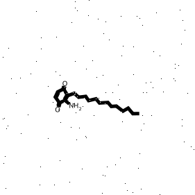 CCCCCCCCCCCCCC1=C(N)C(=O)C=CC1=O